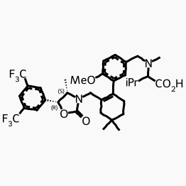 COc1ccc(CN(C)C(C(=O)O)C(C)C)cc1C1=C(CN2C(=O)O[C@H](c3cc(C(F)(F)F)cc(C(F)(F)F)c3)[C@@H]2C)CC(C)(C)CC1